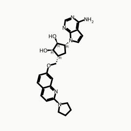 Nc1ncnc2c1ccn2[C@@H]1C[C@H](COc2ccc3ccc(N4CCCC4)nc3c2)[C@@H](O)[C@H]1O